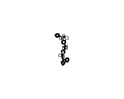 O=C(OCC1c2ccccc2-c2ccccc21)N1CCC(c2nc([C@H]3CC[C@H](N(OCc4ccccc4)C(=O)Cl)CC3)no2)CC1